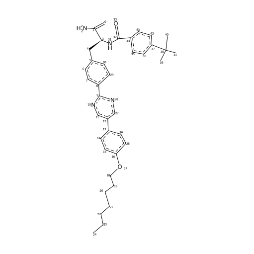 C=C(N)[C@H](Cc1ccc(-c2ncc(-c3ccc(OCCCCCCC)cc3)cn2)cc1)NC(=O)c1ccc(C(C)(C)C)cc1